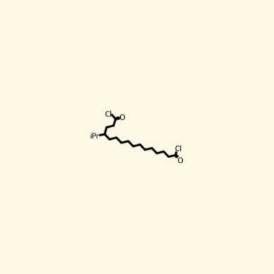 CC(C)C(CCCCCCCCCCCC(=O)Cl)CCC(=O)Cl